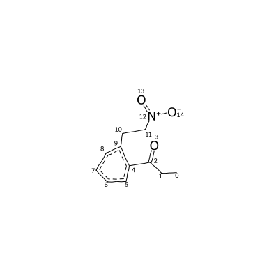 CCC(=O)c1ccccc1CC[N+](=O)[O-]